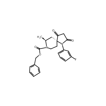 C[C@H]1C[C@]2(CCN1C(=O)OCc1ccccc1)C(=O)CC(=O)N2c1cccc(F)c1